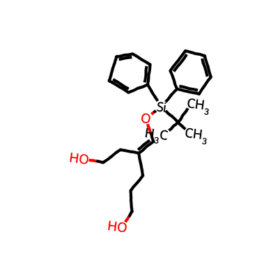 CC(C)(C)[Si](OC=C(CCO)CCCO)(c1ccccc1)c1ccccc1